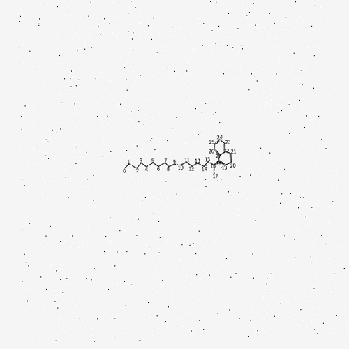 CCCCCCCCCCCCCCCCC(C)c1cccc2ccccc12